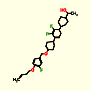 C=CCCOc1ccc(COC2CCC(C3=CCC(C4CCC(C(C)O)CC4)C(F)=C3F)CC2)cc1F